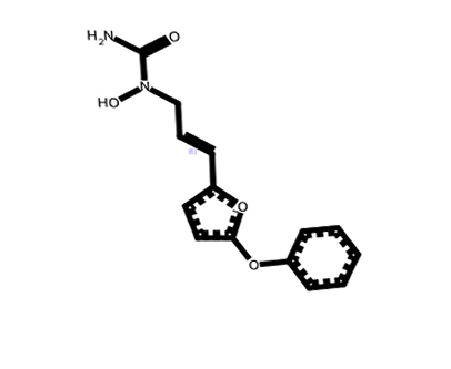 NC(=O)N(O)C/C=C/c1ccc(Oc2ccccc2)o1